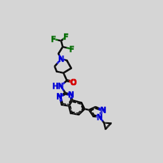 O=C(Nc1ncc2ccc(-c3cnn(C4CC4)c3)cc2n1)C1CCN(CC(F)C(F)F)CC1